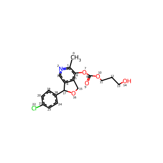 Cc1ncc2c(c1OC(=O)OCCCO)COC2c1ccc(Cl)cc1